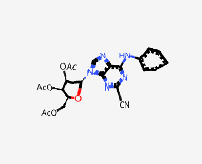 CC(=O)OC[C@@H]1O[C@@H](n2cnc3c(Nc4ccccc4)nc(C#N)nc32)[C@H](OC(C)=O)[C@@H]1OC(C)=O